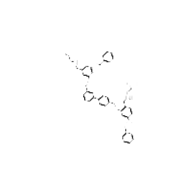 OCCNCc1cc(OCc2ccccc2)cc(OCc2cccc(-c3ccc(COc4cc(OCc5ccccc5)ccc4CNCCO)cc3)c2)c1